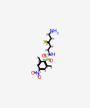 Cc1cc([N+](=O)[O-])cc(C)c1S(=O)(=O)NCCC(=S)CCN